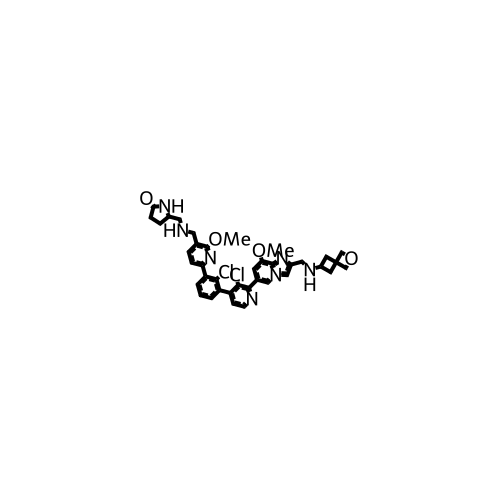 COc1nc(-c2cccc(-c3ccnc(-c4cc(OC)c5nc(CNC6CC7(COC7)C6)cn5c4)c3Cl)c2Cl)ccc1CNCC1CCC(=O)N1